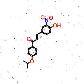 CC(C)Oc1ccc(C(=O)/C=C/c2ccc(O)c([N+](=O)[O-])c2)cc1